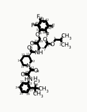 CC(C)COC(=O)C[C@H](NC(=O)[C@@H]1CCCN(C(=O)C(=O)Nc2ccccc2C(C)(C)C)C1)C(=O)COc1c(F)c(F)cc(F)c1F